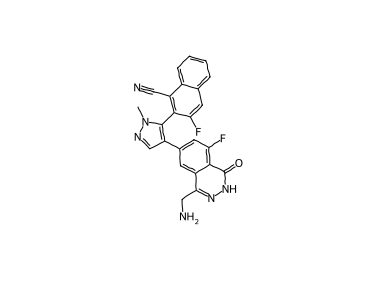 Cn1ncc(-c2cc(F)c3c(=O)[nH]nc(CN)c3c2)c1-c1c(F)cc2ccccc2c1C#N